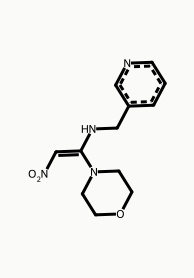 O=[N+]([O-])C=C(NCc1cccnc1)N1CCOCC1